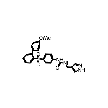 COc1ccc(-c2ccccc2S(=O)(=O)c2ccc(NC(=O)NCc3cn[nH]c3)cc2)cc1